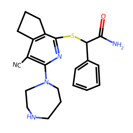 N#Cc1c(N2CCCNCC2)nc(SC(C(N)=O)c2ccccc2)c2c1CCC2